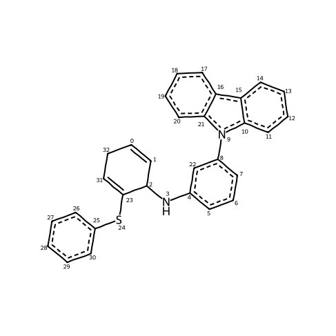 C1=CC(Nc2cccc(-n3c4ccccc4c4ccccc43)c2)C(Sc2ccccc2)=CC1